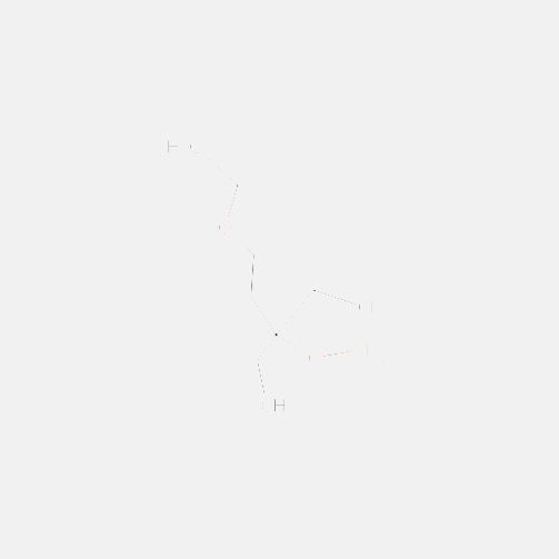 CCOCCC(CC)(CC)OP